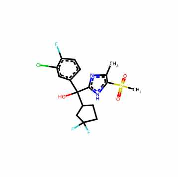 Cc1nc(C(O)(c2ccc(F)c(Cl)c2)C2CCC(F)(F)C2)[nH]c1S(C)(=O)=O